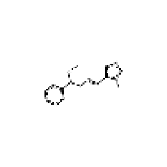 COC(CN=Cc1cncn1C)c1ccccc1